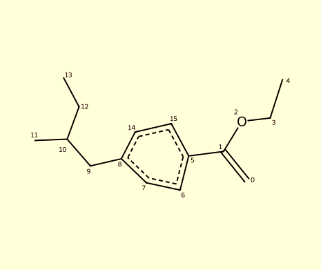 C=C(OCC)c1ccc(CC(C)CC)cc1